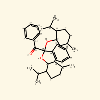 CC1CCC(C(C)C)C(OC(OC2CC(C)CCC2C(C)C)(C(=O)c2ccccc2)c2ccccc2)C1